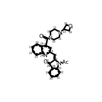 CC(=O)N1C(=Cc2cc(C(=O)N3CCN(C4COC4)CC3)c3ccccc3n2)C(=O)c2ccccc21